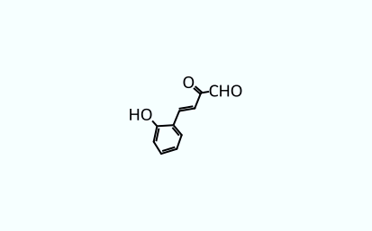 O=CC(=O)C=Cc1ccccc1O